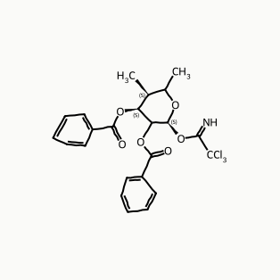 CC1O[C@@H](OC(=N)C(Cl)(Cl)Cl)C(OC(=O)c2ccccc2)[C@@H](OC(=O)c2ccccc2)[C@H]1C